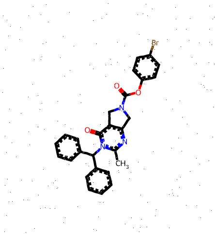 Cc1nc2c(c(=O)n1C(c1ccccc1)c1ccccc1)CN(C(=O)Oc1ccc(Br)cc1)C2